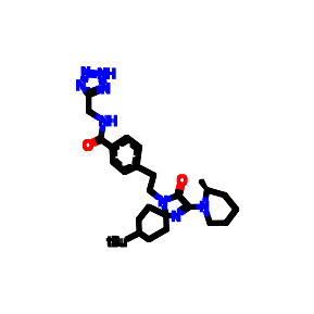 C[C@H]1CCCCN1C1=NC2(CCC(C(C)(C)C)CC2)N(CCc2ccc(C(=O)NCc3nn[nH]n3)cc2)C1=O